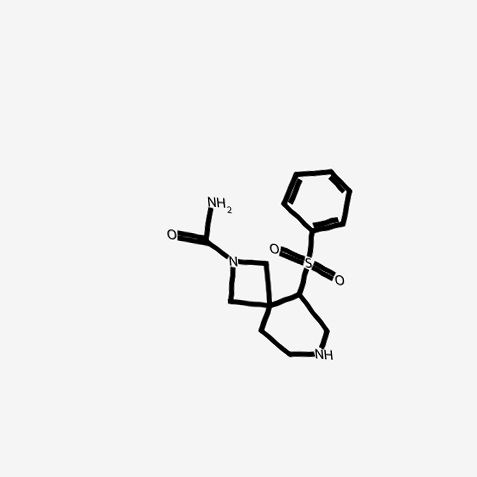 NC(=O)N1CC2(CCNCC2S(=O)(=O)c2ccccc2)C1